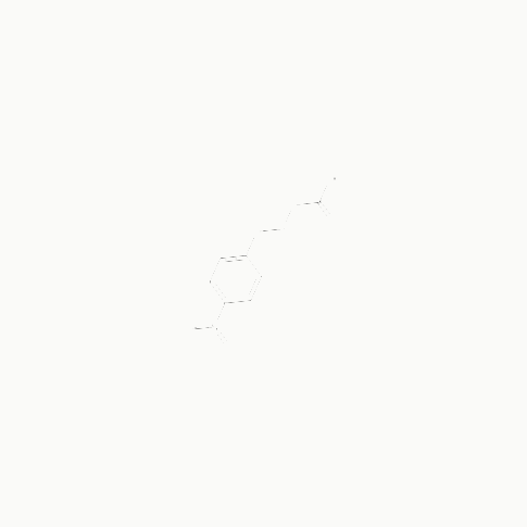 O=C(O)OBOc1ccc([N+](=O)[O-])cc1